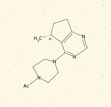 CC(=O)N1CCN(c2ncnc3c2[C@H](C)CC3)CC1